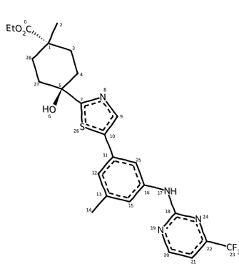 CCOC(=O)[C@]1(C)CC[C@](O)(c2ncc(-c3cc(C)cc(Nc4nccc(C(F)(F)F)n4)c3)s2)CC1